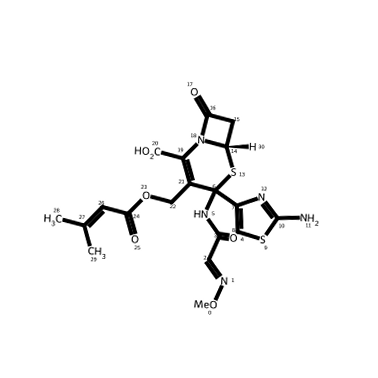 CON=CC(=O)NC1(c2csc(N)n2)S[C@H]2CC(=O)N2C(C(=O)O)=C1COC(=O)C=C(C)C